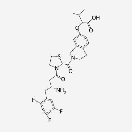 CC(C)C(Oc1ccc2c(c1)CN(C(=O)C1SCCN1C(=O)C[C@H](N)Cc1cc(F)c(F)cc1F)CC2)C(=O)O